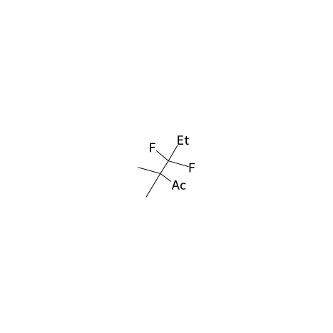 CCC(F)(F)C(C)(C)C(C)=O